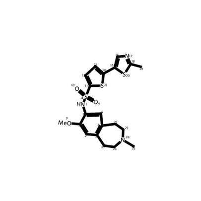 COc1cc2c(cc1NS(=O)(=O)c1ccc(-c3cnc(C)s3)s1)CCN(C)CC2